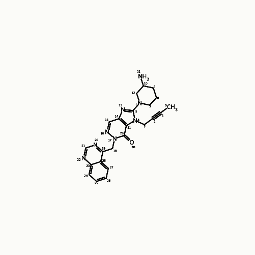 CC#CCn1c(N2CCCC(N)C2)nc2cnn(Cc3ncnc4ccccc34)c(=O)c21